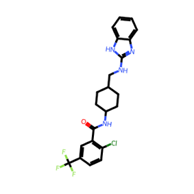 O=C(NC1CCC(CNc2nc3ccccc3[nH]2)CC1)c1cc(C(F)(F)F)ccc1Cl